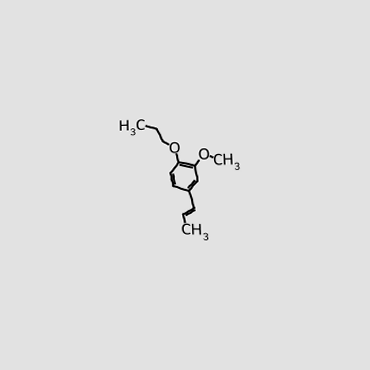 C/C=C/c1ccc(OCCC)c(OC)c1